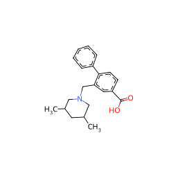 CC1CC(C)CN(Cc2cc(C(=O)O)ccc2-c2ccccc2)C1